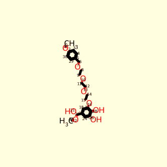 COc1ccc(COCCOCCOCCOc2cc(C(O)OC)cc(O)c2O)cc1